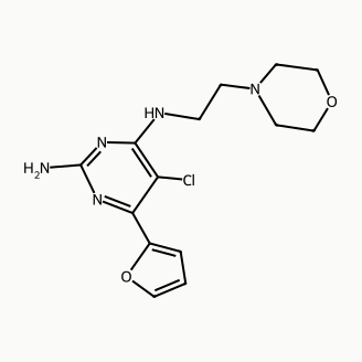 Nc1nc(NCCN2CCOCC2)c(Cl)c(-c2ccco2)n1